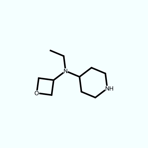 CCN(C1CCNCC1)C1COC1